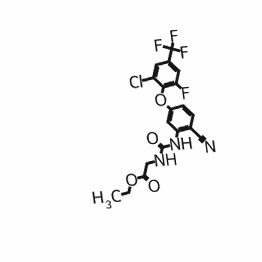 CCOC(=O)CNC(=O)Nc1cc(Oc2c(F)cc(C(F)(F)F)cc2Cl)ccc1C#N